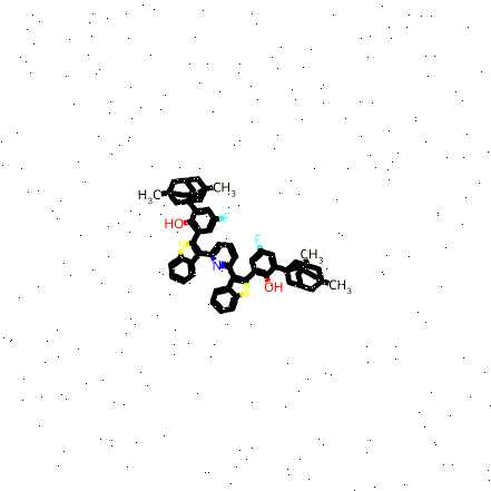 CC12CC3CC(C)(C1)CC(c1cc(F)cc(-c4sc5ccccc5c4-c4cccc(-c5c(-c6cc(F)cc(C78CC9CC(C)(CC(C)(C9)C7)C8)c6O)sc6ccccc56)n4)c1O)(C3)C2